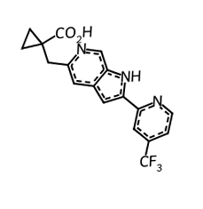 O=C(O)C1(Cc2cc3cc(-c4cc(C(F)(F)F)ccn4)[nH]c3cn2)CC1